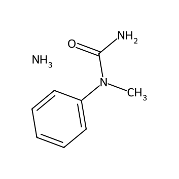 CN(C(N)=O)c1ccccc1.N